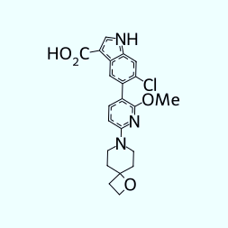 COc1nc(N2CCC3(CCO3)CC2)ccc1-c1cc2c(C(=O)O)c[nH]c2cc1Cl